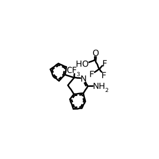 NC1=NC(c2ccccc2)(C(F)(F)F)Cc2ccccc21.O=C(O)C(F)(F)F